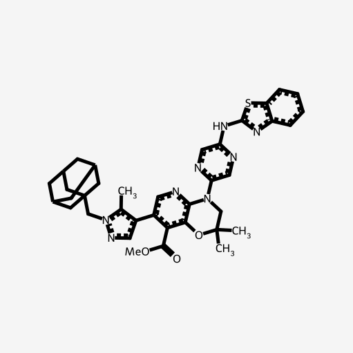 COC(=O)c1c(-c2cnn(CC34CC5CC(CC(C5)C3)C4)c2C)cnc2c1OC(C)(C)CN2c1cnc(Nc2nc3ccccc3s2)cn1